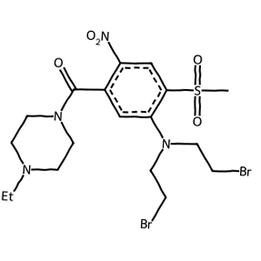 CCN1CCN(C(=O)c2cc(N(CCBr)CCBr)c(S(C)(=O)=O)cc2[N+](=O)[O-])CC1